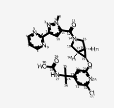 Cn1nc(-c2ncccn2)cc1C(=O)N1C[C@@H]2[C@H](C1)[C@@H]2Oc1cc(C(C)(C)NC(=O)O)cc(Cl)n1